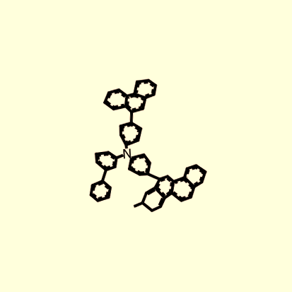 CC1C=c2c(-c3ccc(N(c4ccc(-c5cc6ccccc6c6ccccc56)cc4)c4cccc(-c5ccccc5)c4)cc3)cc3c(ccc4ccccc43)c2=CC1